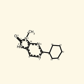 Cn1c(=O)[nH]c2cnc(C3CCCCC3)nc21